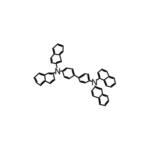 c1ccc2cc(N(c3ccc(-c4ccc(N(c5ccc6ccccc6c5)c5cccc6ccccc56)cc4)cc3)c3ccc4ccccc4c3)ccc2c1